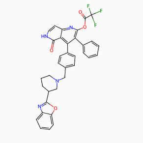 O=C(Oc1nc2cc[nH]c(=O)c2c(-c2ccc(CN3CCCC(c4nc5ccccc5o4)C3)cc2)c1-c1ccccc1)C(F)(F)F